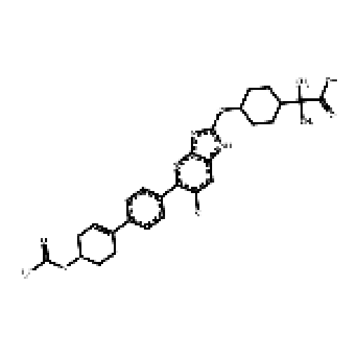 CC(=O)NC1CC=C(c2ccc(-c3nc4nc(OC5CCC(C(C)(C)C(=O)O)CC5)[nH]c4cc3Cl)cc2)CC1